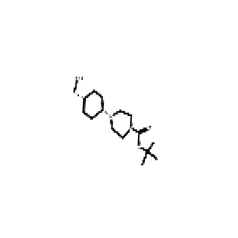 CC(C)(C)OC(=O)N1CCN([C@H]2CC[C@@H](CO)CC2)CC1